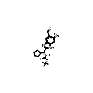 COc1cc2[nH]c([C@H](NC(=O)OC(C)(C)C)C3CCCC3)nc2cc1C=O